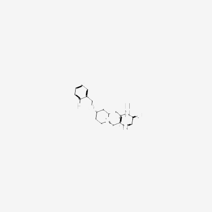 O=c1cnc(CN2CCC(OCc3ccccc3F)CC2)c(Cl)[nH]1